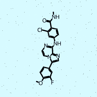 CNC(=O)c1ccc(Nc2nccn3c(-c4ccc(OC)c(F)c4)cnc23)cc1Cl